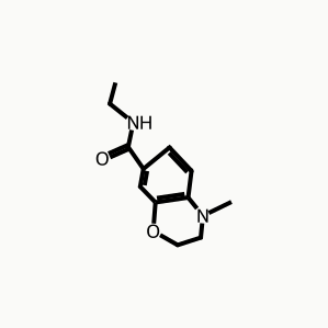 CCNC(=O)c1ccc2c(c1)OCCN2C